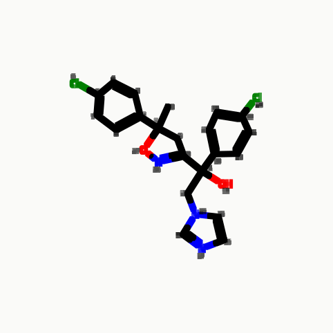 CC1(c2ccc(Cl)cc2)CC(C(O)(Cn2ccnc2)c2ccc(Cl)cc2)=NO1